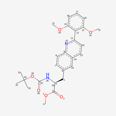 COC(=O)[C@H](Cc1ccc2nc(-c3c(OC)cccc3OC)ccc2c1)NC(=O)OC(C)(C)C